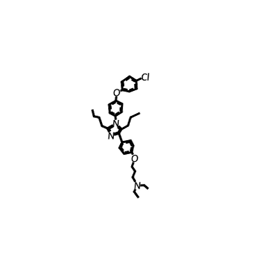 CCCCc1nc(-c2ccc(OCCCN(CC)CC)cc2)c(CCC)n1-c1ccc(Oc2ccc(Cl)cc2)cc1